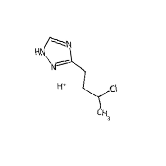 CC(Cl)CCc1nc[nH]n1.[H+]